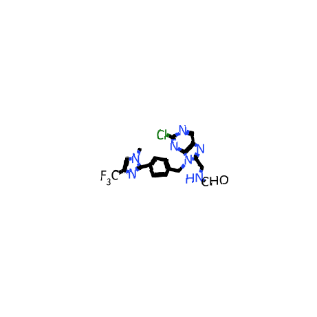 Cn1cc(C(F)(F)F)nc1-c1ccc(Cn2c(CNC=O)nc3cnc(Cl)nc32)cc1